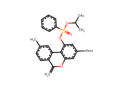 C=C1Oc2cc(CCCCC)cc(OP(=O)(OC(C)OC(C)=O)c3ccccc3)c2-c2cc(C)ccc21